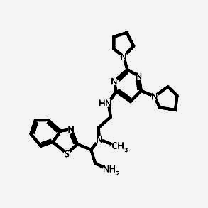 CN(CCNc1cc(N2CCCC2)nc(N2CCCC2)n1)C(CN)c1nc2ccccc2s1